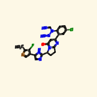 N=CN(N=N)c1ccc(Cl)cc1-c1cc(=O)n2c(n1)CCC2c1ncc(-c2csc(C(=O)O)c2F)[nH]1